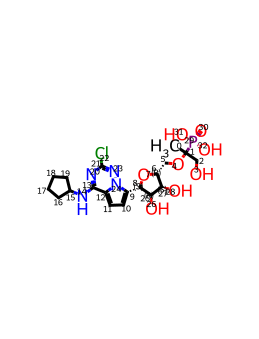 CC(CO)(OC[C@H]1O[C@@H](c2ccc3c(NC4CCCC4)nc(Cl)nn23)[C@H](O)[C@@H]1O)P(=O)(O)O